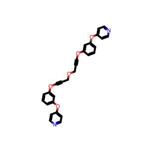 C(#COc1cccc(Oc2ccncc2)c1)COCC#COc1cccc(Oc2ccncc2)c1